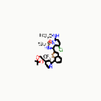 CC1(C)OCC(c2ccnc(-c3cccc4cc(C(N[S@@+]([O-])C(C)(C)C)c5nc(NC(=O)O)ccc5Cl)sc34)c2)(C(F)(F)F)O1